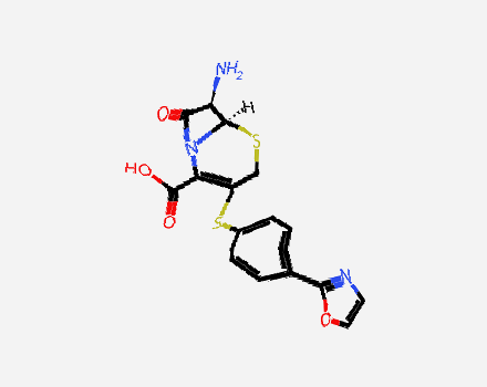 N[C@@H]1C(=O)N2C(C(=O)O)=C(Sc3ccc(-c4ncco4)cc3)CS[C@H]12